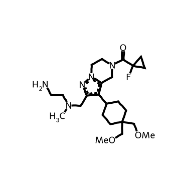 COCC1(COC)CCC(c2c(CN(C)CCN)nn3c2CN(C(=O)C2(F)CC2)CC3)CC1